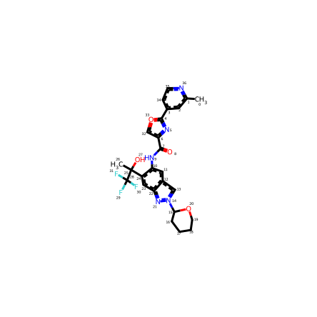 Cc1cc(-c2nc(C(=O)Nc3cc4cn(C5CCCCO5)nc4cc3C(C)(O)C(F)(F)F)co2)ccn1